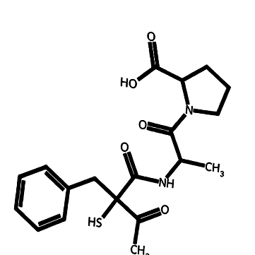 CC(=O)C(S)(Cc1ccccc1)C(=O)NC(C)C(=O)N1CCCC1C(=O)O